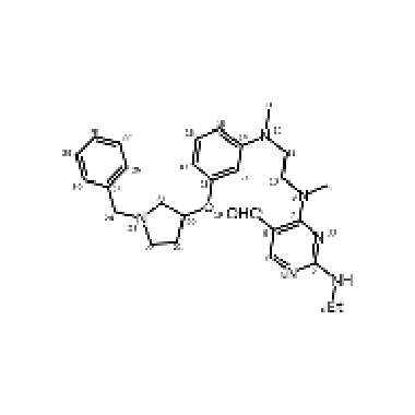 CCNc1ncc(C=O)c(N(C)CCN(C)c2cccc(OC3CCN(Cc4ccccc4)C3)c2)n1